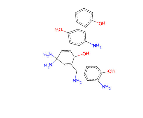 NCC1=CC(N)(N)C=CC1O.Nc1ccc(O)cc1.Nc1ccccc1O.Oc1ccccc1